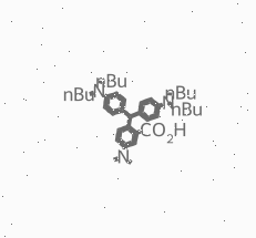 CCCCN(CCCC)c1ccc(C(c2ccc(N(CCCC)CCCC)cc2)c2ccc(N(C)C)cc2C(=O)O)cc1